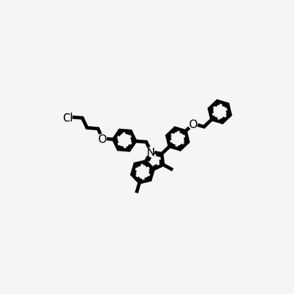 Cc1ccc2c(c1)c(C)c(-c1ccc(OCc3ccccc3)cc1)n2Cc1ccc(OCCCCl)cc1